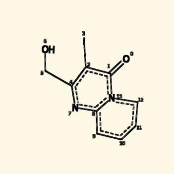 O=c1c(I)c(CO)nc2ccccn12